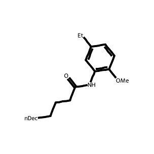 CCCCCCCCCCCCCC(=O)Nc1cc(CC)ccc1OC